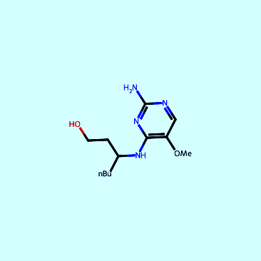 CCCCC(CCO)Nc1nc(N)ncc1OC